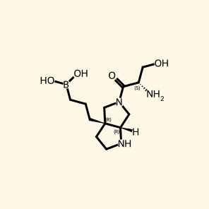 N[C@@H](CO)C(=O)N1C[C@@H]2NCC[C@]2(CCCB(O)O)C1